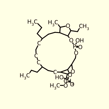 CCCC1CCCCC(CCC)CCC2C(C)OC(CC)C2OP(=O)(O)OCC2OC(C)C(CC1)C2OP(=O)(O)OC